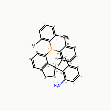 Cc1cccc(C)c1P(c1cccc2c1[C@]1(CCc3cccc(N)c31)CC2)c1c(C)cccc1C